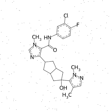 Cc1cnn(C)c1C1(O)CC2CC(c3ncn(C)c3C(=O)Nc3ccc(F)c(Cl)c3)CC2C1